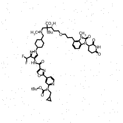 CN(CC1CCC(n2cc(NC(=O)c3coc(-c4ccnc(N(CC5CC5)C(=O)OC(C)(C)C)c4)n3)c(C(F)F)n2)CC1)CC(CCCOCCCc1cccc2c1n(C)c(=O)n2C1CCC(=O)NC1=O)(C(=O)O)C(C)(C)C